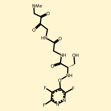 CNCC(=O)C(=O)CNC(=O)CNC(=O)[C@H](CO)NOc1c(F)nnc(F)c1F